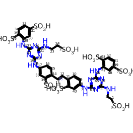 O=S(=O)(O)CCNc1nc(Nc2ccc(/C=C/c3ccc(Nc4nc(NCCS(=O)(=O)O)nc(Nc5cc(S(=O)(=O)O)ccc5S(=O)(=O)O)n4)cc3S(=O)(=O)O)c(S(=O)(=O)O)c2)nc(Nc2cc(S(=O)(=O)O)ccc2S(=O)(=O)O)n1